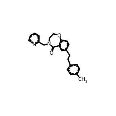 Cc1ccc(CCc2ccc3c(c2)C(=O)N(Cc2ccccn2)CCO3)cc1